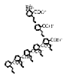 C=CCc1ccccc1C(=O)[O-].C=CCc1ccccc1C(=O)[O-].C=CCc1ccccc1C(=O)[O-].C=CCc1ccccc1C(=O)[O-].C=CCc1ccccc1C(=O)[O-].C=CCc1ccccc1C(=O)[O-].C=CCc1ccccc1C(=O)[O-].[Al+3].[Ti+4]